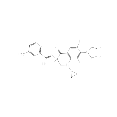 O=C(O)C1(N=Cc2cccc([N+](=O)[O-])c2)CN(C2CC2)c2c(cc(F)c(N3CCCC3)c2F)C1=O